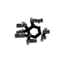 CCCCCCCC1CCC[Si](OC)(OC)C1(CCC)OC.CCO